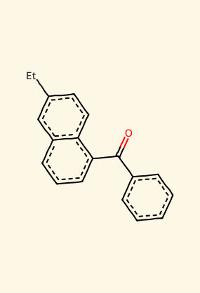 CCc1ccc2c(C(=O)c3ccccc3)cccc2c1